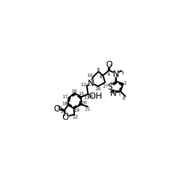 Cc1cc(N(C)C(=O)C2CCN(CC(O)c3ccc4c(c3C)COC4=O)CC2)sn1